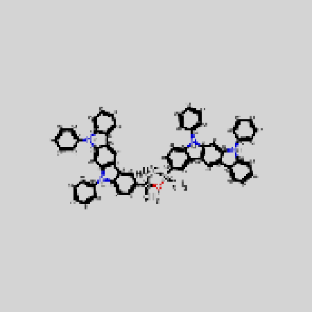 C[Si](C)(O[Si](C)(C)c1ccc2c(c1)c1cc3c4ccccc4n(-c4ccccc4)c3cc1n2-c1ccccc1)c1ccc2c(c1)c1cc3c4ccccc4n(-c4ccccc4)c3cc1n2-c1ccccc1